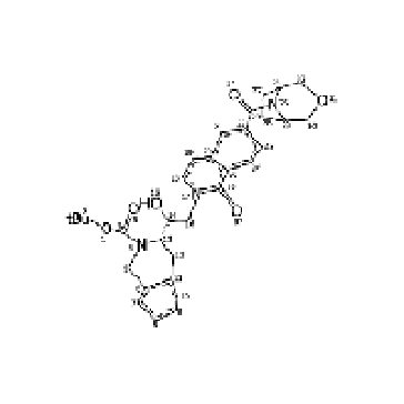 CC(C)(C)OC(=O)N1Cc2ccccc2C[C@H]1C(O)Cn1ccc2cc(C(=O)N3C4CCC3COC4)ccc2c1=O